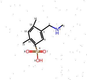 CNCc1cc(S(=O)(=O)O)c(C)[c]c1C